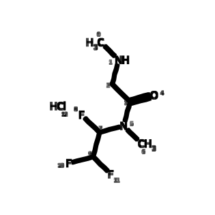 CNCC(=O)N(C)C(F)C(F)F.Cl